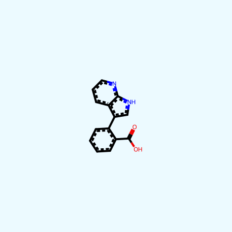 O=C(O)c1ccccc1-c1c[nH]c2ncccc12